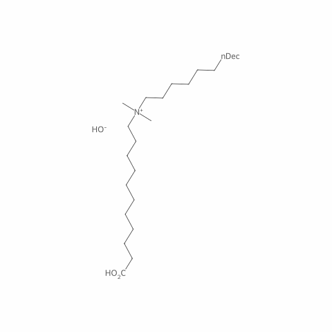 CCCCCCCCCCCCCCCC[N+](C)(C)CCCCCCCCCCC(=O)O.[OH-]